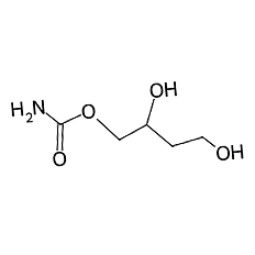 NC(=O)OCC(O)CCO